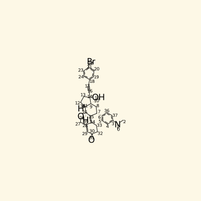 CN(C)c1ccc([C@H]2C[C@@]3(C)[C@@H](CC[C@@]3(O)C#Cc3ccc(Br)cc3)[C@@H]3OCC4=CC(=O)CCC4=C32)cc1